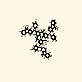 Cc1ccc(N(c2ccc3c(c2)C(C)(C)c2ccccc2-3)c2cc3c4c(c2)C(C)(C)c2cc(N(c5ccc(C)cc5)c5ccc6c(c5)C(C)(C)c5ccccc5-6)cc5c2N4c2c(cc(N(c4ccc(C)cc4)c4ccc6c(c4)C(C)(C)c4ccccc4-6)cc2C5(C)C)C3(C)C)cc1